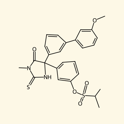 COc1cccc(-c2cccc(C3(c4cccc(OS(=O)(=O)C(C)C)c4)NC(=S)N(C)C3=O)c2)c1